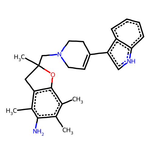 Cc1c(C)c2c(c(C)c1N)CC(C)(CN1CC=C(c3c[nH]c4ccccc34)CC1)O2